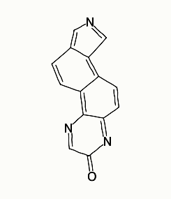 O=C1C=Nc2c(ccc3c4c(ccc23)=CN=C4)=N1